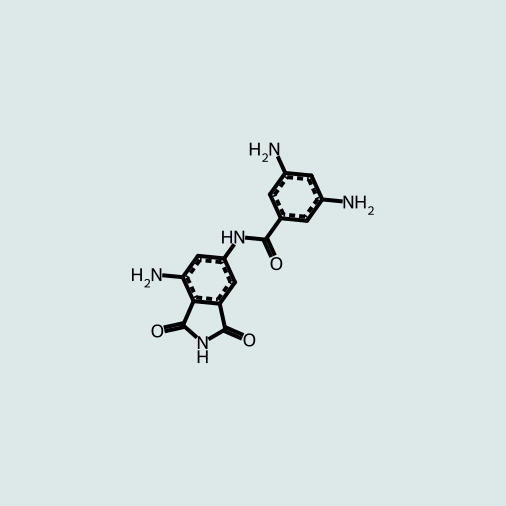 Nc1cc(N)cc(C(=O)Nc2cc(N)c3c(c2)C(=O)NC3=O)c1